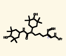 CCCN/C=C(/CCCN(C(=O)NC1CC(C)(C)N(O)C(C)(C)C1)C1CC(C)(C)N(O)C(C)(C)C1)N=N